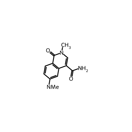 CNc1ccc2c(=O)n(C)cc(C(N)=O)c2c1